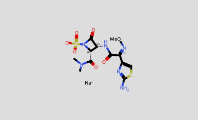 CO/N=C(\C(=O)N[C@H]1C(=O)N(S(=O)(=O)[O-])[C@H]1C(=O)N(C)C)c1csc(N)n1.[Na+]